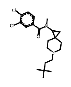 CN(C(=O)c1ccc(Cl)c(Cl)c1)C1CC12CCN(CCC(C)(C)C)CC2